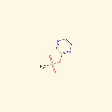 CS(=O)(=O)Oc1cnccn1